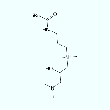 CCC(C)C(=O)NCCC[N+](C)(C)CC(O)CN(C)C